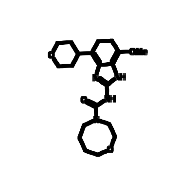 COC1=c2[nH]c(NC(=O)N3CCCCOCC3)nc2=C(C2CCOCC2)CC1